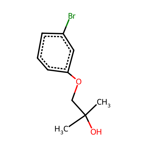 CC(C)(O)COc1cccc(Br)c1